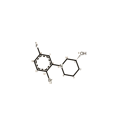 O[C@@H]1CCCN(c2cc(F)ccc2Br)C1